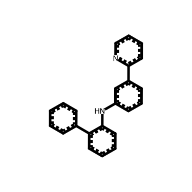 c1ccc(-c2ccccc2Nc2cccc(-c3ccccn3)c2)cc1